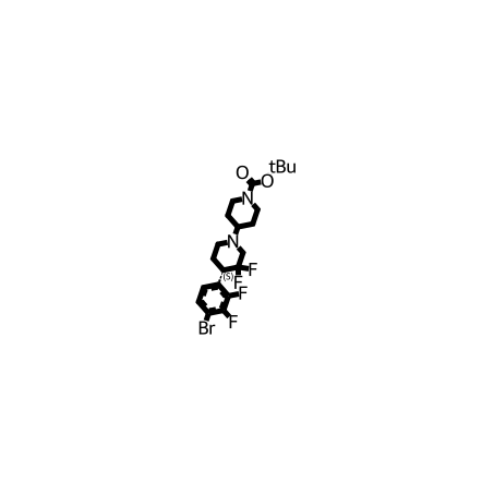 CC(C)(C)OC(=O)N1CCC(N2CC[C@@H](c3ccc(Br)c(F)c3F)C(F)(F)C2)CC1